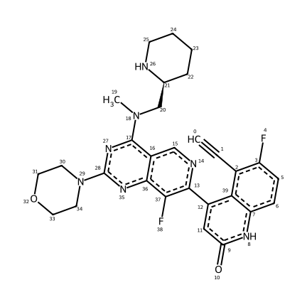 C#Cc1c(F)ccc2[nH]c(=O)cc(-c3ncc4c(N(C)C[C@@H]5CCCCN5)nc(N5CCOCC5)nc4c3F)c12